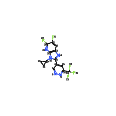 Fc1cc2nc(-c3cnnc(C(F)(F)F)c3)n(C3CC3)c2nc1F